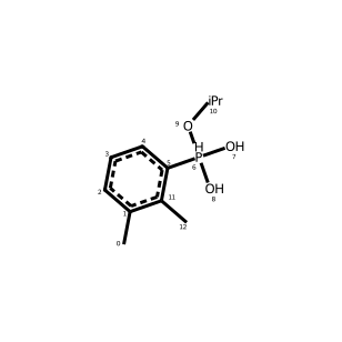 Cc1cccc([PH](O)(O)OC(C)C)c1C